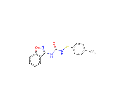 O=C(NSc1ccc(C(F)(F)F)cc1)Nc1noc2ccccc12